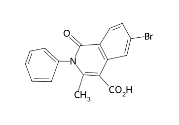 Cc1c(C(=O)O)c2cc(Br)ccc2c(=O)n1-c1ccccc1